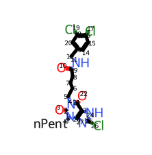 CCCCCn1c(=O)n(CCCCC(=O)NCc2ccc(Cl)c(Cl)c2)c(=O)c2[nH]c(Cl)nc21